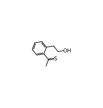 CC(=S)c1ccccc1CCO